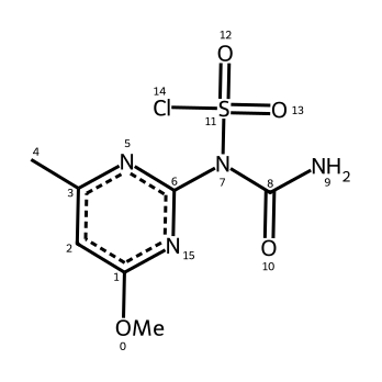 COc1cc(C)nc(N(C(N)=O)S(=O)(=O)Cl)n1